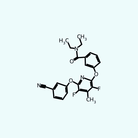 CCN(CC)C(=O)c1cccc(Oc2nc(Oc3cccc(C#N)c3)c(F)c(C)c2F)c1